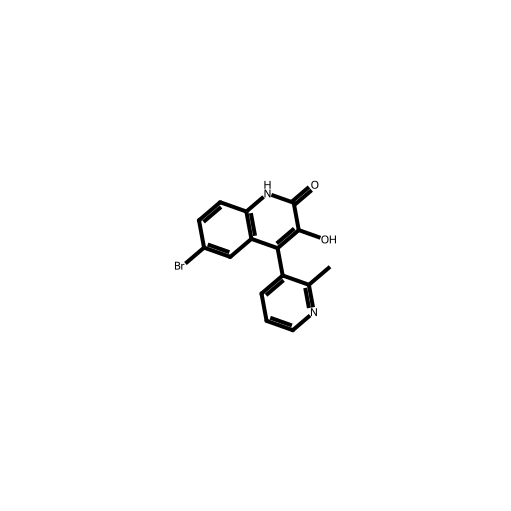 Cc1ncccc1-c1c(O)c(=O)[nH]c2ccc(Br)cc12